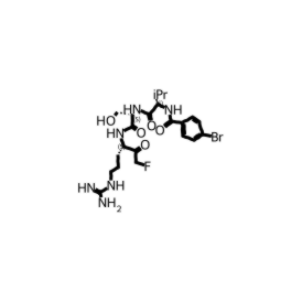 CC(C)[C@H](NC(=O)c1ccc(Br)cc1)C(=O)N[C@@H](CO)C(=O)N[C@@H](CCCNC(=N)N)C(=O)CF